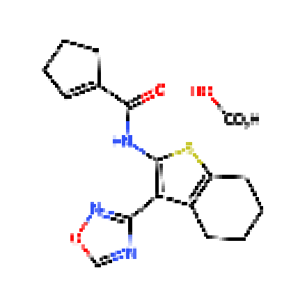 O=C(Nc1sc2c(c1-c1ncon1)CCCC2)C1=CCCC1.O=C(O)O